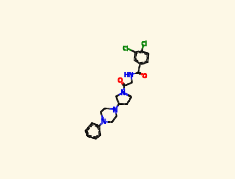 O=C(NCC(=O)N1CCC(N2CCN(c3ccccc3)CC2)C1)c1ccc(Cl)c(Cl)c1